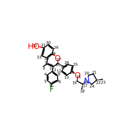 CC1=C(c2ccc(F)cc2)[C@H](c2ccc(OC[C@H](C)N3CC[C@@H](C)C3)cc2)Oc2ccc(O)cc21